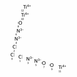 [C].[C].[C].[N-3].[N-3].[N-3].[N-3].[O].[O].[O].[Ti+4].[Ti+4].[Ti+4]